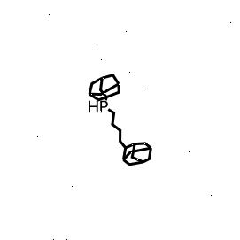 C(CCC1C2CC3CC(C2)CC1C3)CPC12CC3CC(CC(C3)C1)C2